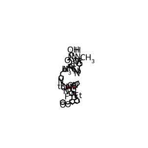 CCc1cccc2cc(OC3CCCCO3)cc(-c3ncc4c(N5CC6CCC(C5)N6C(=O)OC(C)(C)C)nc(OCCN5CCC(CC6CN(c7cc([C@H](C(=O)N8C[C@H](O)C[C@H]8C(=O)N[C@@H](C)c8ccc(-c9ccnn9C)cc8)C(C)C)on7)C6)CC5)nc4c3F)c12